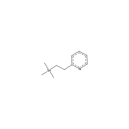 [CH3][Sn]([CH3])([CH3])[CH2]Cc1ccccn1